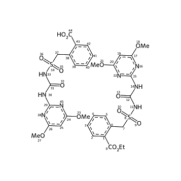 CCOC(=O)c1ccccc1CS(=O)(=O)NC(=O)Nc1nc(OC)cc(OC)n1.COc1cc(OC)nc(NC(=O)NS(=O)(=O)Cc2ccccc2C(=O)O)n1